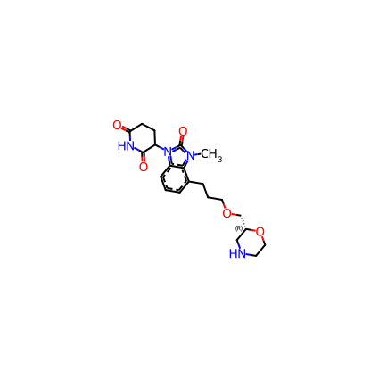 Cn1c(=O)n(C2CCC(=O)NC2=O)c2cccc(CCCOC[C@H]3CNCCO3)c21